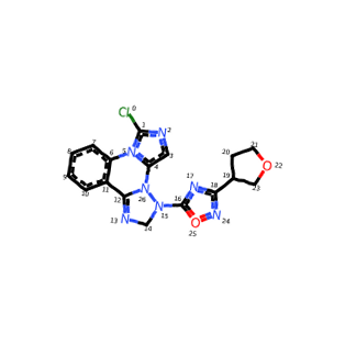 Clc1ncc2n1-c1ccccc1C1=NCN(c3nc(C4CCOC4)no3)N12